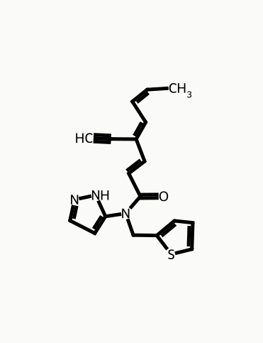 C#CC(=C\C=C/C)/C=C/C(=O)N(Cc1cccs1)c1ccn[nH]1